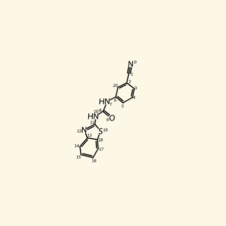 N#Cc1cccc(NC(=O)Nc2nc3ccccc3s2)c1